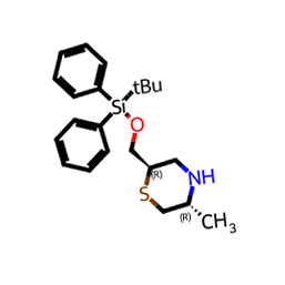 C[C@@H]1CS[C@@H](CO[Si](c2ccccc2)(c2ccccc2)C(C)(C)C)CN1